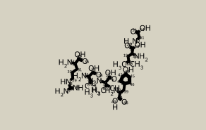 CC(C)C(N)C(=O)O.CC(C)C(N)C(=O)O.CC(C)CC(N)C(=O)O.N=C(N)NCCCC(N)C(=O)O.NC(Cc1ccc(O)cc1)C(=O)O.NCC(=O)O